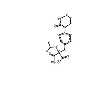 CC(C)OC(Cc1ccc(N2CCCNC2=O)cc1)(C(=O)O)C(=O)O